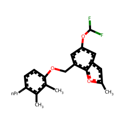 CCCc1ccc(OCc2cc(OC(F)F)cc3cc(C)oc23)c(C)c1C